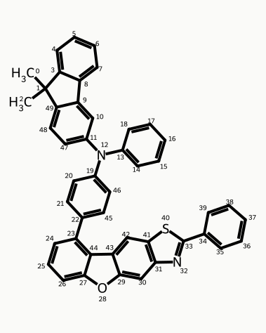 CC1(C)c2ccccc2-c2cc(N(c3ccccc3)c3ccc(-c4cccc5oc6cc7nc(-c8ccccc8)sc7cc6c45)cc3)ccc21